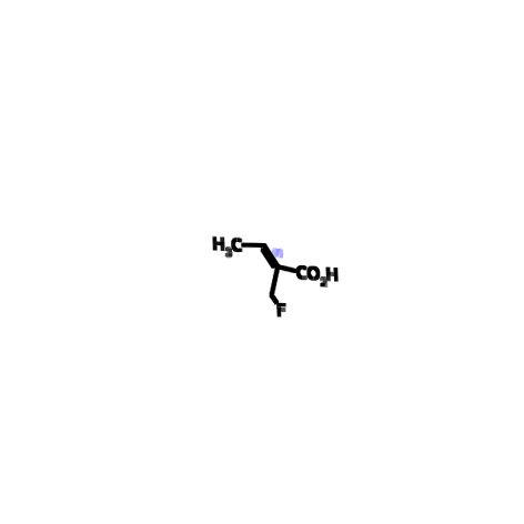 C/C=C(\CF)C(=O)O